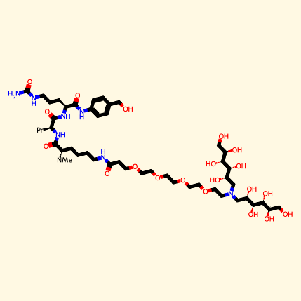 CN[C@@H](CCCCNC(=O)CCOCCOCCOCCOCCN(C[C@H](O)[C@@H](O)[C@H](O)[C@H](O)CO)C[C@H](O)[C@@H](O)[C@H](O)[C@H](O)CO)C(=O)N[C@H](C(=O)N[C@@H](CCCNC(N)=O)C(=O)Nc1ccc(CO)cc1)C(C)C